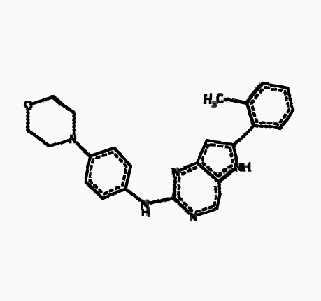 Cc1ccccc1-c1cc2nc(Nc3ccc(N4CCOCC4)cc3)ncc2[nH]1